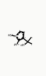 CCCC(C)(C)c1ccn(S)c1C(C)C